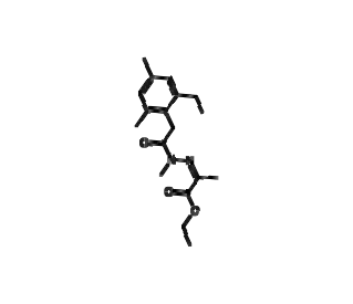 CCOC(=O)C(C)=NN(C)C(=O)Cc1c(C)cc(C)cc1CC